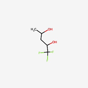 CC(O)CC(O)C(F)(F)F